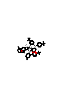 Cc1ccc(N2c3cc(C)cc4c3B(c3cc(C(C)(C)C)ccc3N4c3ccc(C(C)(C)C)cc3)c3sc4cc5c(cc4c32)C2CCC5(C)CCC2C)c(-c2ccc(C(C)(C)C)cc2)c1